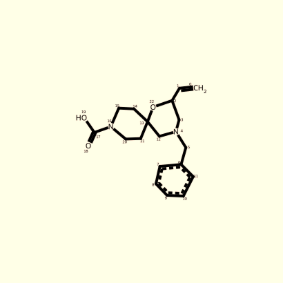 C=CC1CN(Cc2ccccc2)CC2(CCN(C(=O)O)CC2)O1